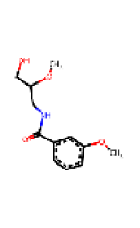 COc1cccc(C(=O)NCC(CO)OC)c1